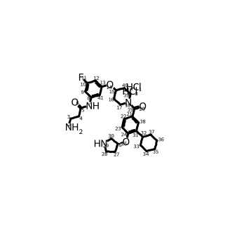 Cl.Cl.NCCC(=O)Nc1cc(F)cc(OC2CCN(C(=O)c3ccc(O[C@H]4CCNC4)c(C4CCCCC4)c3)CC2)c1